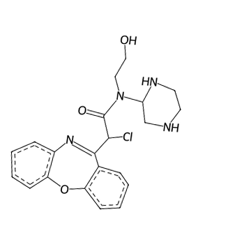 O=C(C(Cl)C1=Nc2ccccc2Oc2ccccc21)N(CCO)C1CNCCN1